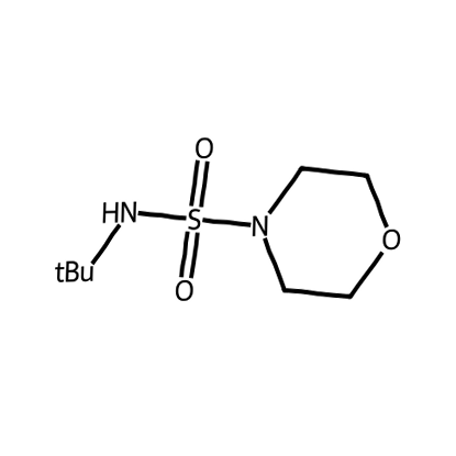 CC(C)(C)NS(=O)(=O)N1CCOCC1